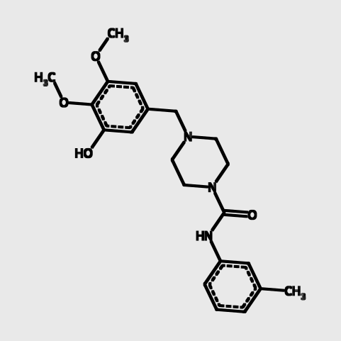 COc1cc(CN2CCN(C(=O)Nc3cccc(C)c3)CC2)cc(O)c1OC